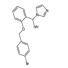 CCCC(c1ccccc1OCc1ccc(Br)cc1)n1ccnc1